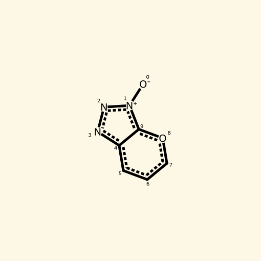 [O-][n+]1nnc2cccoc1-2